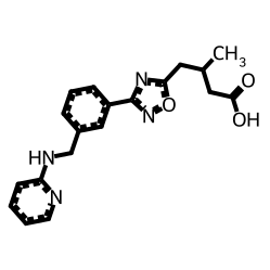 CC(CC(=O)O)Cc1nc(-c2cccc(CNc3ccccn3)c2)no1